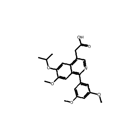 COc1cc(OC)cc(-c2ncc(CC(=O)O)c3cc(OC(C)C)c(OC)cc23)c1